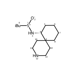 CCC(C)[S+]([O-])N[C@@H]1CCCCC12CCNCC2